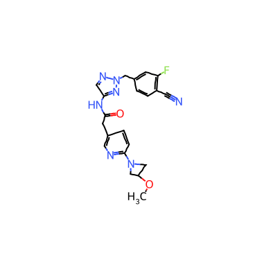 COC1CN(c2ccc(CC(=O)Nc3cnn(Cc4ccc(C#N)c(F)c4)n3)cn2)C1